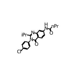 CCCC(=O)Nc1ccc2c(=O)n(-c3ccc(Cl)cc3)c(C(C)C)nc2c1